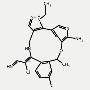 CCN/C1=C(\C=N)CN/C(=C(/Cl)C=N)c2ccc(F)cc2C(C)Oc2cc1cnc2N